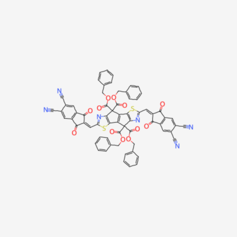 N#Cc1cc2c(cc1C#N)C(=O)C(=Cc1nc3c(s1)C1=C(c4sc(C=C5C(=O)c6cc(C#N)c(C#N)cc6C5=O)nc4C1(C(=O)OCc1ccccc1)C(=O)OCc1ccccc1)C3(C(=O)OCc1ccccc1)C(=O)OCc1ccccc1)C2=O